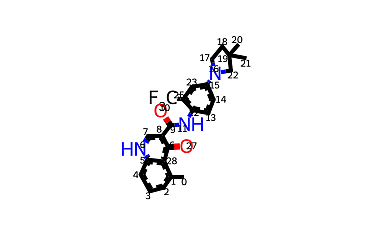 Cc1cccc2[nH]cc(C(=O)Nc3ccc(N4CCC(C)(C)C4)cc3C(F)(F)F)c(=O)c12